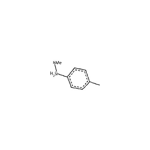 CN[SiH2]c1ccc(C)cc1